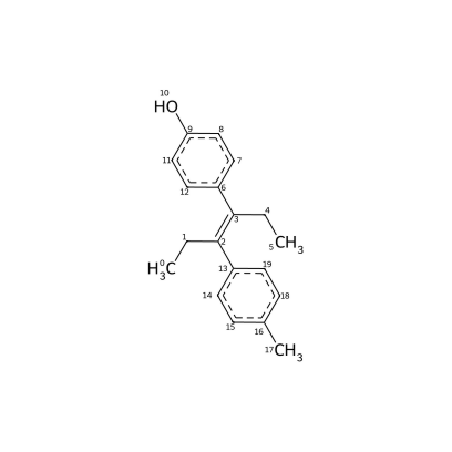 CC/C(=C(/CC)c1ccc(O)cc1)c1ccc(C)cc1